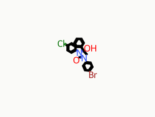 O=C1N(c2ccc(Br)cc2)CC(O)(c2ccccc2)N1c1ccc(Cl)cc1